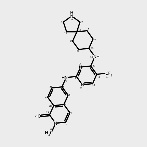 Cn1ccc2cc(Nc3ncc(C(F)(F)F)c(NC4CCC5(CCNC5)CC4)n3)ccc2c1=O